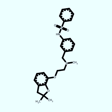 CN(CCOc1cccc2c1OC(C)(C)C2)Cc1cccc(NS(=O)(=O)c2ccccc2)c1